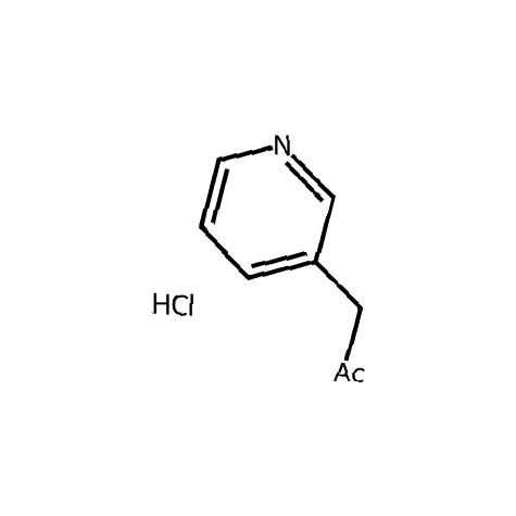 CC(=O)Cc1cccnc1.Cl